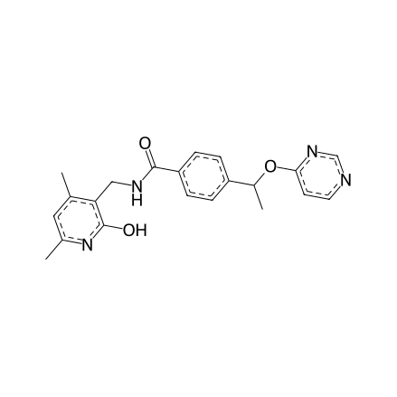 Cc1cc(C)c(CNC(=O)c2ccc(C(C)Oc3ccncn3)cc2)c(O)n1